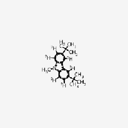 [2H]c1c(C(C)(C)C)c([2H])c2c3c([2H])c(C(C)(C)C)c([2H])c([2H])c3n(C)c2c1[2H]